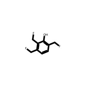 Oc1c(CF)ccc(CF)c1CF